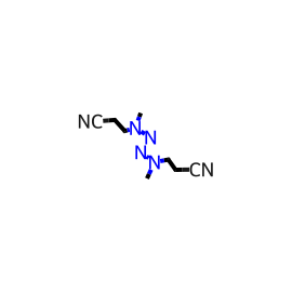 CN(CCC#N)/N=N/N(C)CCC#N